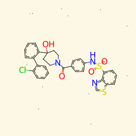 O=C(c1ccc(NS(=O)(=O)c2cccc3scnc23)cc1)N1CCC(O)(c2ccccc2-c2ccccc2Cl)CC1